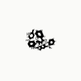 CC1CCC(Nc2ccc(Nc3ncc4cc(N(C)c5ccccc5)c(=O)n(C5C(=O)c6ccccc6OC5(C)C)c4n3)cc2)CN1